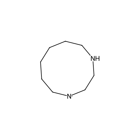 C1CCCNCC[N]CC1